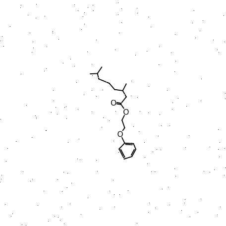 CC(C)CCCC(C)CC(=O)OCCOc1ccccc1